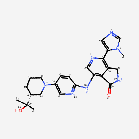 Cn1cncc1-c1ncc(Nc2ccc(N3CCC[C@@H](C(C)(C)O)C3)cn2)c2c1CNC2=O